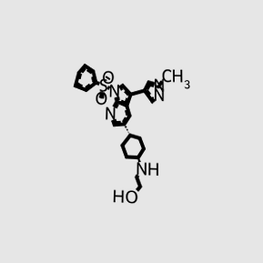 Cn1cc(-c2cn(S(=O)(=O)c3ccccc3)c3ncc([C@H]4CC[C@H](NCCO)CC4)cc23)cn1